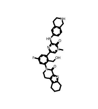 Cn1cc(-c2cc(F)cc(N3CCc4c(sc5c4CCCC5)C3=O)c2CO)nc(Nc2ccc3c(c2)CCNC3)c1=O